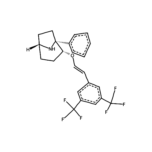 FC(F)(F)c1cc(C=CO[C@@H]2CC[C@@H]3CC[C@]2(c2ccccc2)N3)cc(C(F)(F)F)c1